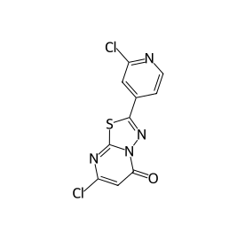 O=c1cc(Cl)nc2sc(-c3ccnc(Cl)c3)nn12